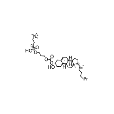 CC(C)CCC[C@@H](C)[C@H]1CC[C@H]2[C@@H]3CC=C4CC(OC(=O)OCCCOP(=O)(O)OCC[N+](C)(C)C)CC[C@]4(C)[C@H]3CC[C@]12C.[OH-]